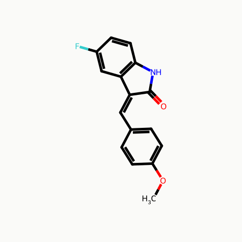 COc1ccc(C=C2C(=O)Nc3ccc(F)cc32)cc1